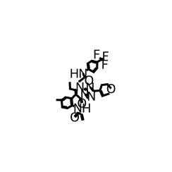 C=CC(=O)Nc1ccc(C)cc1-c1c(CC)n(CC(=O)Nc2ccc(C(F)(F)F)cc2)c2nc(C3=CCOCC3)nn2c1=O